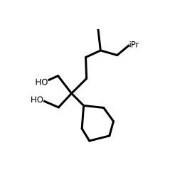 CC(C)CC(C)CCC(CO)(CO)C1CCCCC1